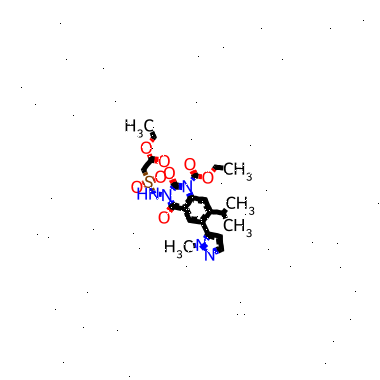 CCOC(=O)CS(=O)(=O)Nn1c(=O)c2cc(-c3ccnn3C)c(C(C)C)cc2n(C(=O)OCC)c1=O